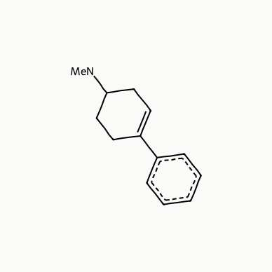 CNC1CC=C(c2ccccc2)CC1